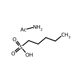 CC(N)=O.CCCCCS(=O)(=O)O